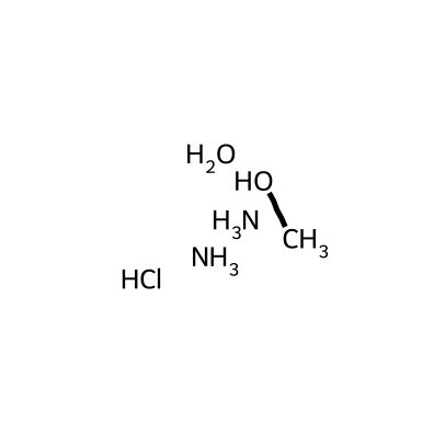 CO.Cl.N.N.O